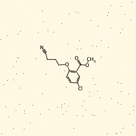 COC(=O)c1cc(Cl)ccc1OCCCC#N